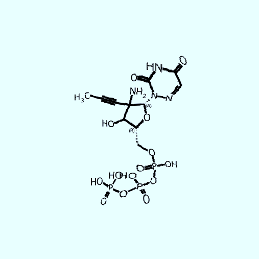 CC#CC1(N)C(O)[C@@H](COP(=O)(O)OP(=O)(O)OP(=O)(O)O)O[C@H]1n1ncc(=O)[nH]c1=O